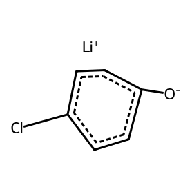 [Li+].[O-]c1ccc(Cl)cc1